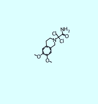 COc1cc2c(cc1OC)CN(C(Cl)(Cl)C(N)=O)CC2